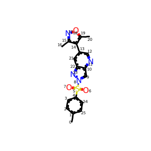 Cc1ccc(S(=O)(=O)n2cc3ncc(-c4c(C)noc4C)cc3n2)cc1